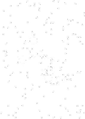 COc1ccccc1-c1cc(-c2ccccc2)cc(N2N=C(C)C(C(=O)Nc3cccc(C(C)(F)F)c3)C2=O)c1